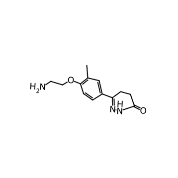 Cc1cc(C2=NNC(=O)CC2)ccc1OCCN